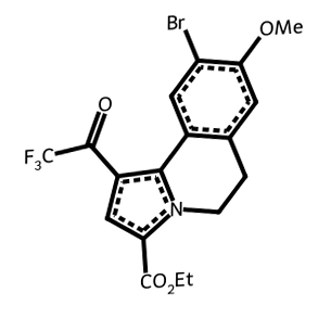 CCOC(=O)c1cc(C(=O)C(F)(F)F)c2n1CCc1cc(OC)c(Br)cc1-2